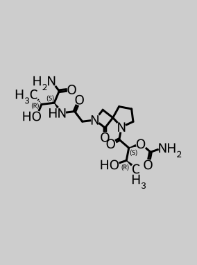 C[C@@H](O)[C@H](NC(=O)CN1CC2(CCCN2C(=O)[C@@H](OC(N)=O)[C@@H](C)O)C1=O)C(N)=O